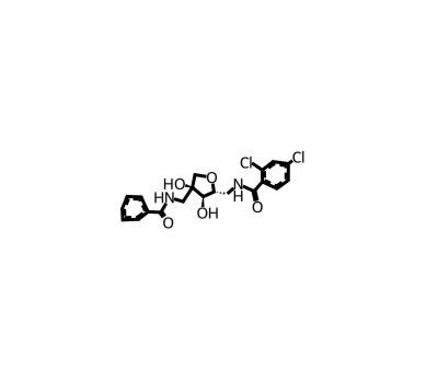 O=C(NC[C@]1(O)CO[C@H](CNC(=O)c2ccc(Cl)cc2Cl)[C@H]1O)c1ccccc1